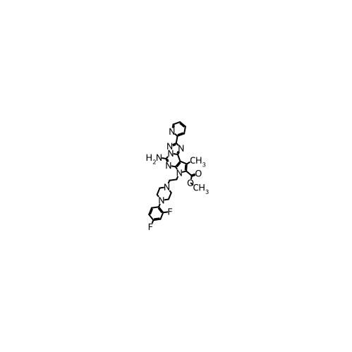 COC(=O)c1c(C)c2c(nc(N)n3nc(-c4ccccn4)nc23)n1CCN1CCN(c2ccc(F)cc2F)CC1